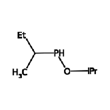 CCC(C)POC(C)C